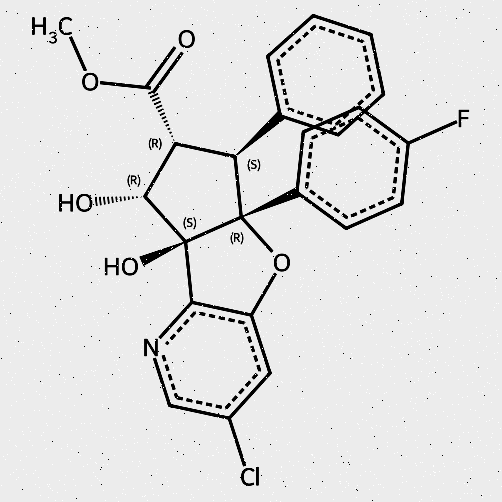 COC(=O)[C@H]1[C@@H](O)[C@@]2(O)c3ncc(Cl)cc3O[C@@]2(c2ccc(F)cc2)[C@@H]1c1ccccc1